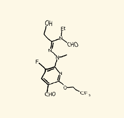 CCN(C=O)/C(CO)=N\N(C)c1nc(OCC(F)(F)F)c(C=O)cc1F